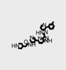 Cc1cccc(-c2nccc3[nH]c(-c4n[nH]c5ccc(-c6cncc(NC(=O)CC7CCNCC7)c6)nc45)nc23)c1